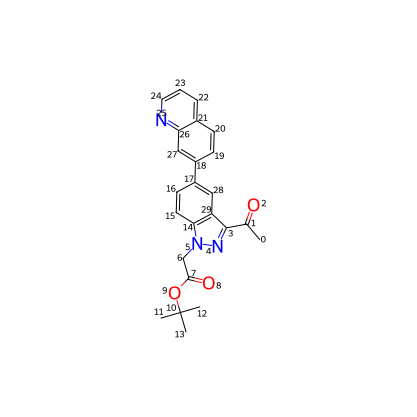 CC(=O)c1nn(CC(=O)OC(C)(C)C)c2ccc(-c3ccc4cccnc4c3)cc12